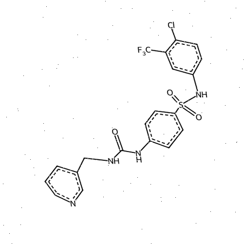 O=C(NCc1cccnc1)Nc1ccc(S(=O)(=O)Nc2ccc(Cl)c(C(F)(F)F)c2)cc1